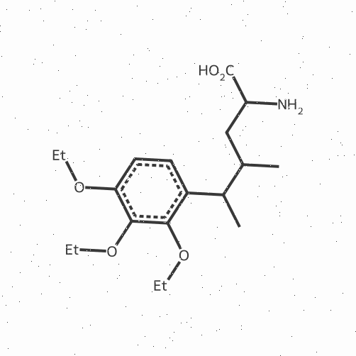 CCOc1ccc(C(C)C(C)CC(N)C(=O)O)c(OCC)c1OCC